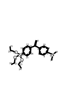 C=C(c1ccc(N(C)C)cc1)c1ccc([Si](OCC)(OCC)OCC)cc1